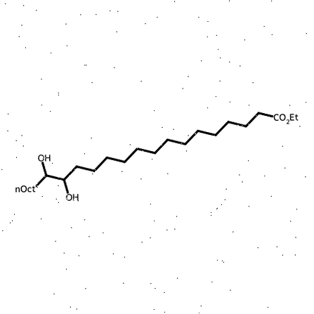 CCCCCCCCC(O)C(O)CCCCCCCCCCCCCC(=O)OCC